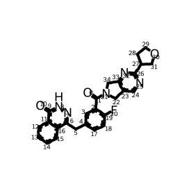 O=C(c1cc(Cc2n[nH]c(=O)c3ccccc23)ccc1F)N1Cc2cnc(C3CCOC3)nc2C1